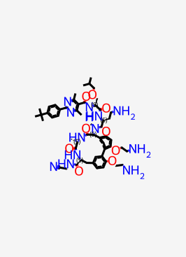 Cc1nc(-c2ccc(C(C)(C)C)cc2)nc(C)c1C(=O)N[C@@H](COCC(C)C)C(=O)N[C@@H](CCN)C(=O)N(C)[C@@H]1C(=O)N[C@@H](C)C(=O)N[C@H](C(=O)NCC#N)Cc2ccc(OCCN)c(c2)-c2cc1ccc2OCCN